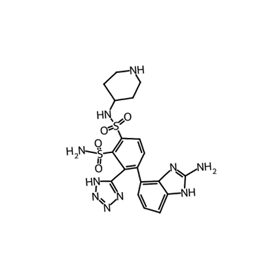 Nc1nc2c(-c3ccc(S(=O)(=O)NC4CCNCC4)c(S(N)(=O)=O)c3-c3nnn[nH]3)cccc2[nH]1